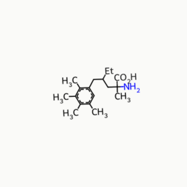 CCC(Cc1cc(C)c(C)c(C)c1C)CC(C)(N)C(=O)O